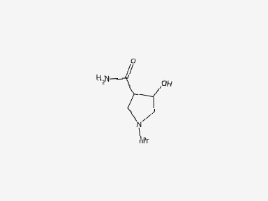 CCCN1CC(O)C(C(N)=O)C1